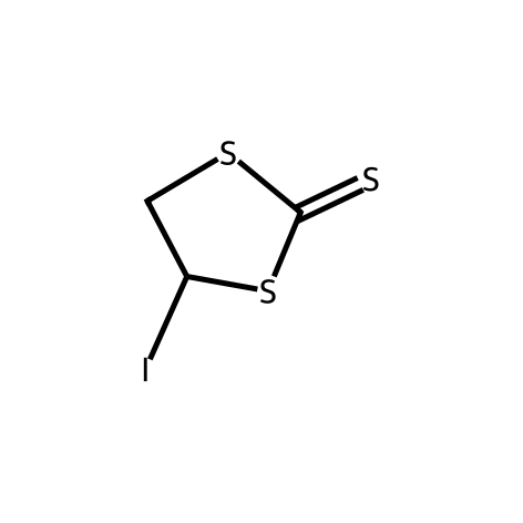 S=C1SCC(I)S1